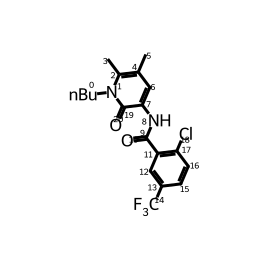 CCCCn1c(C)c(C)cc(NC(=O)c2cc(C(F)(F)F)ccc2Cl)c1=O